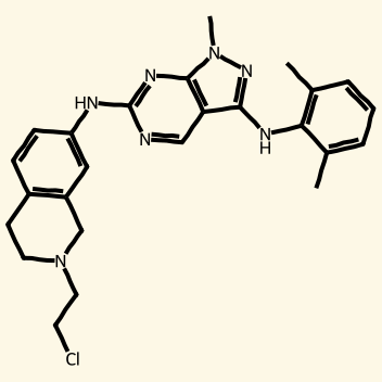 Cc1cccc(C)c1Nc1nn(C)c2nc(Nc3ccc4c(c3)CN(CCCl)CC4)ncc12